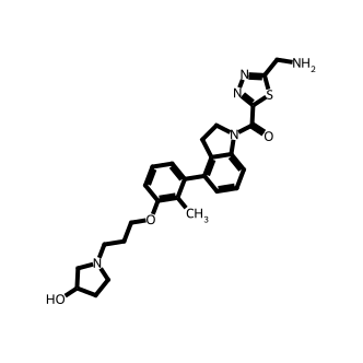 Cc1c(OCCCN2CCC(O)C2)cccc1-c1cccc2c1CCN2C(=O)c1nnc(CN)s1